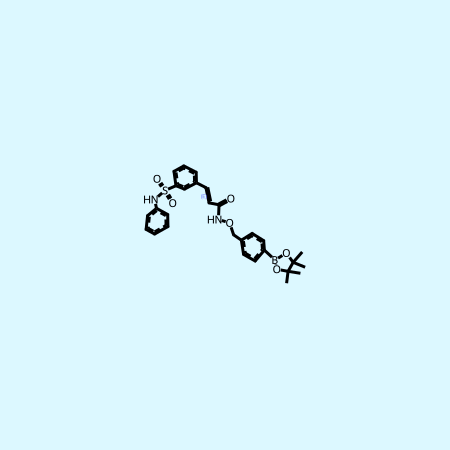 CC1(C)OB(c2ccc(CONC(=O)/C=C/c3cccc(S(=O)(=O)Nc4ccccc4)c3)cc2)OC1(C)C